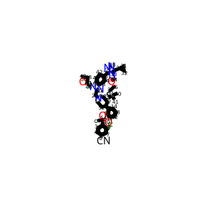 CC1(c2ccc(C#N)cc2F)Oc2cccc(C3CCN(Cc4nc5cc(-c6nnc(C7CC7)n6COCC[Si](C)(C)C)ccc5n4C[C@@H]4CCO4)CC3)c2O1